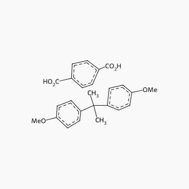 COc1ccc(C(C)(C)c2ccc(OC)cc2)cc1.O=C(O)c1ccc(C(=O)O)cc1